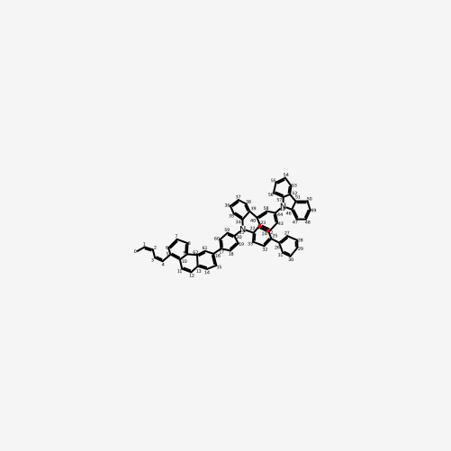 C/C=C\C=C/c1cccc2c1ccc1ccc(-c3ccc(N(c4ccc(-c5ccccc5)cc4)c4ccccc4-c4cccc(-n5c6ccccc6c6ccccc65)c4)cc3)cc12